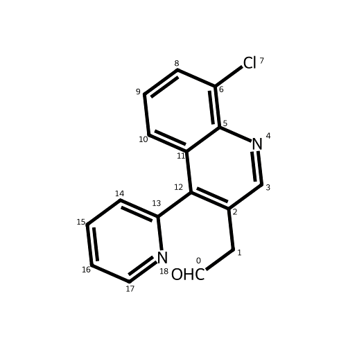 O=CCc1cnc2c(Cl)cccc2c1-c1ccccn1